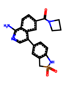 Nc1ncc(-c2ccc3c(c2)CS(=O)(=O)N3)c2cc(C(=O)N3CCC3)ccc12